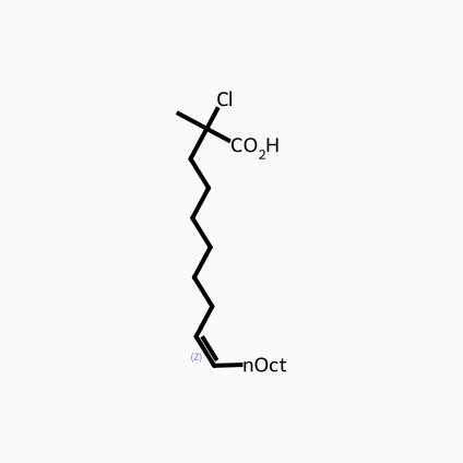 CCCCCCCC/C=C\CCCCCCC(C)(Cl)C(=O)O